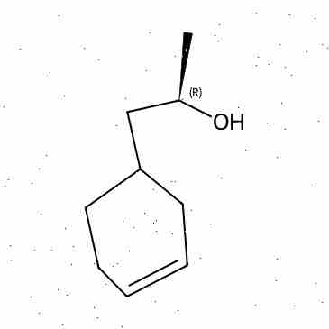 C[C@@H](O)CC1CC=CCC1